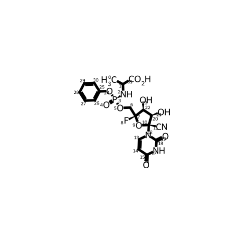 CC(N[P@](=O)(OC[C@@]1(F)O[C@@](C#N)(n2ccc(=O)[nH]c2=O)[C@H](O)[C@@H]1O)Oc1ccccc1)C(=O)O